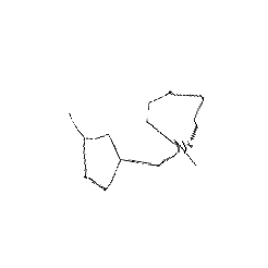 CC1CCC(C[N+]2(C)CCCCC2)C1